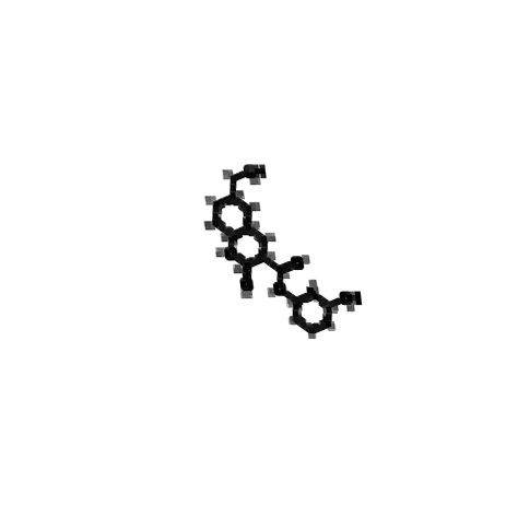 O=C(Oc1cccc(O)n1)c1cc2cc(CO)ccc2oc1=O